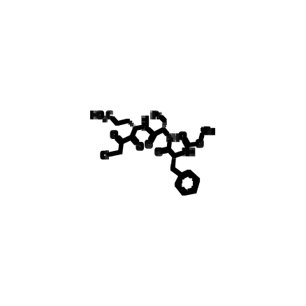 CC(C)C[C@H](NC(=O)[C@H](Cc1ccccc1)NC(=O)OC(C)(C)C)C(=O)N[C@@H](CCC(=O)O)C(=O)C(=O)CCl